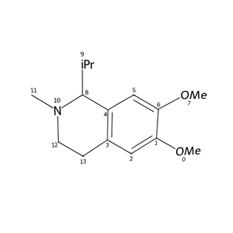 COc1cc2c(cc1OC)C(C(C)C)N(C)CC2